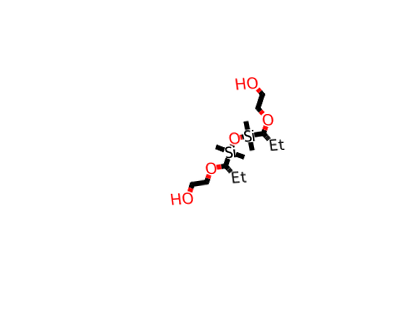 CCC(OCCO)[Si](C)(C)O[Si](C)(C)C(CC)OCCO